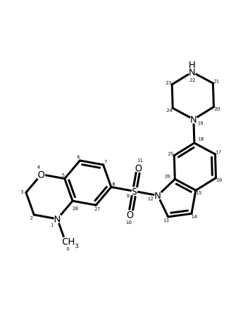 CN1CCOc2ccc(S(=O)(=O)n3ccc4ccc(N5CCNCC5)cc43)cc21